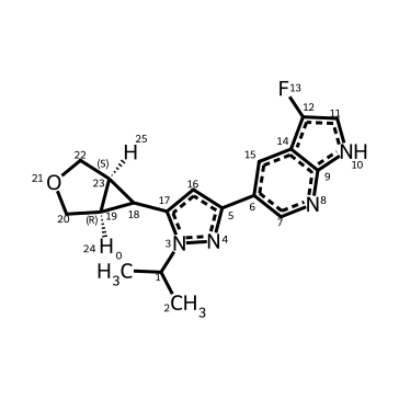 CC(C)n1nc(-c2cnc3[nH]cc(F)c3c2)cc1C1[C@H]2COC[C@@H]12